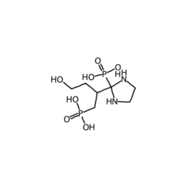 O=P(O)(O)CC(CCO)C1(P(=O)(O)O)NCCN1